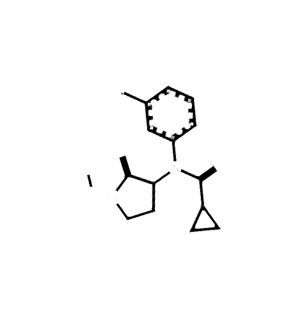 O=C1OCCC1N(C(=O)C1CC1)c1cccc(Cl)c1.OS